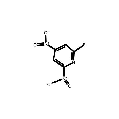 O=[N+]([O-])c1cc(F)nc([N+](=O)[O-])c1